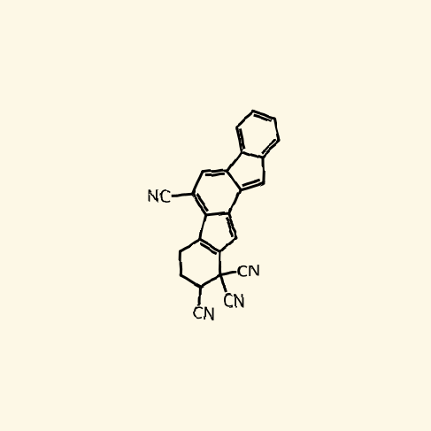 N#Cc1cc2c(c3c1C1=C(C=3)C(C#N)(C#N)C(C#N)CC1)=Cc1ccccc1-2